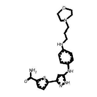 NC(=O)c1ccc(-c2cc(Nc3ccc(NCCCN4CCOCC4)cc3)[nH]n2)s1